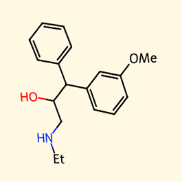 CCNCC(O)C(c1ccccc1)c1cccc(OC)c1